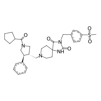 CS(=O)(=O)c1ccc(CN2C(=O)NC3(CCN(C[C@H]4CN(C(=O)C5CCCC5)C[C@@H]4c4ccccc4)CC3)C2=O)cc1